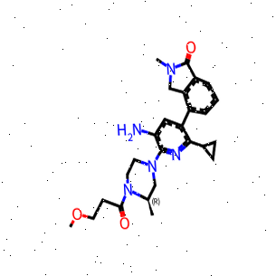 COCCC(=O)N1CCN(c2nc(C3CC3)c(-c3cccc4c3CN(C)C4=O)cc2N)C[C@H]1C